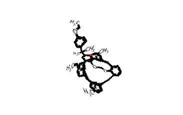 CCOc1ccc(C(C)(C)c2ccc(OCOc3c4cccc3Cc3cccc(c3OC)Cc3cccc(c3OCC)Cc3cccc(c3OC)C4)cc2)cc1